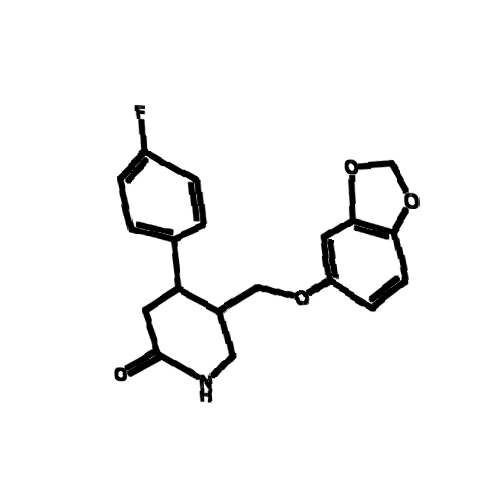 O=C1CC(c2ccc(F)cc2)C(COc2ccc3c(c2)OCO3)CN1